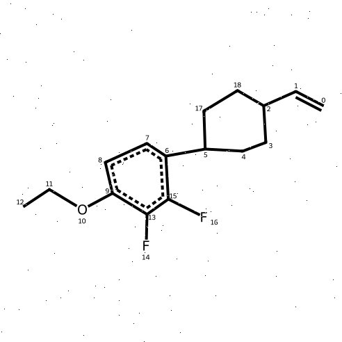 C=CC1CCC(c2ccc(OCC)c(F)c2F)CC1